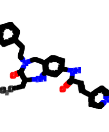 O=C(O)CC1Nc2cc(NC(=O)/C=C/c3ccncc3)ccc2CN(CCc2ccccc2)C1=O